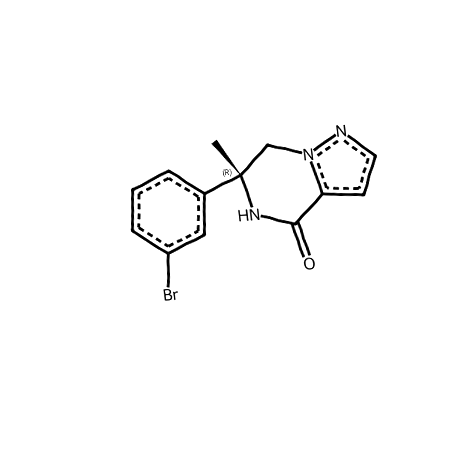 C[C@@]1(c2cccc(Br)c2)Cn2nccc2C(=O)N1